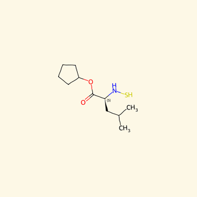 CC(C)C[C@H](NS)C(=O)OC1CCCC1